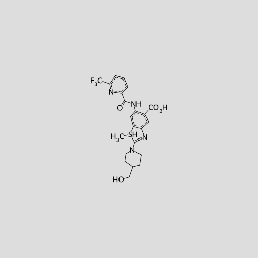 C[SH]1C(N2CCC(CO)CC2)=Nc2cc(C(=O)O)c(NC(=O)c3cccc(C(F)(F)F)n3)cc21